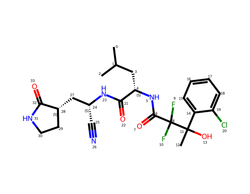 CC(C)C[C@H](NC(=O)C(F)(F)C(C)(O)c1ccccc1Cl)C(=O)N[C@H](C#N)C[C@@H]1CCNC1=O